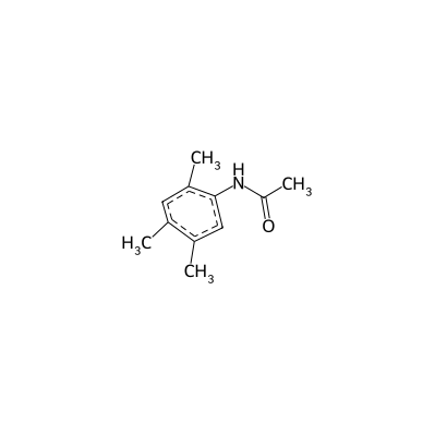 CC(=O)Nc1cc(C)c(C)cc1C